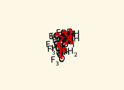 CCOc1ccccc1CCNC(=O)c1csc(CNC(=O)COc2ccc(OC(F)(F)F)cc2)n1.CCOc1ccccc1CNC(=O)c1csc(CNC(=O)COc2ccc(OC(F)(F)F)cc2)n1.NC(=O)C1=CSCN1c1sc(CNC(=O)COc2ccc(OC(F)(F)F)cc2)nc1C(=O)NCc1ccccc1OC(F)(F)F.O=C(COc1ccc(I)cc1)NCc1nc(C(=O)NCCc2ccccc2F)cs1